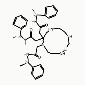 C[C@@H](NC(=O)CN1CCNCCNCCNCC1(CC(=O)N[C@H](C)c1ccccc1)CC(=O)N[C@H](C)c1ccccc1)c1ccccc1